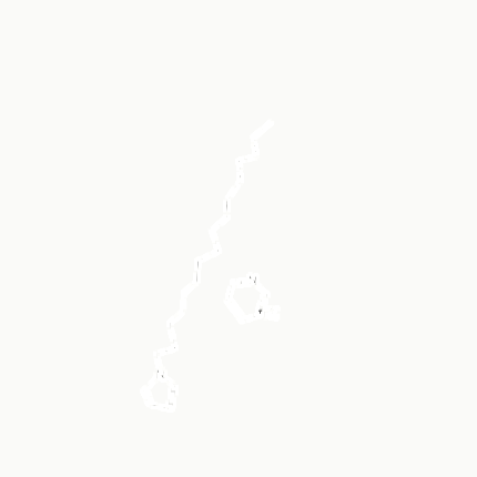 CCCCCCCCCCCCCCCCn1cccc1.Cl.c1ccncc1